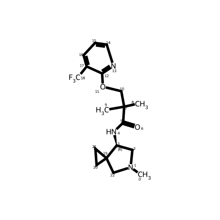 CN1C[C@H](NC(=O)C(C)(C)COc2ncccc2C(F)(F)F)C2(CC2)C1